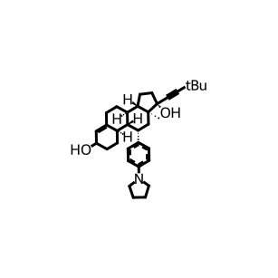 CC(C)(C)C#C[C@]1(O)CC[C@H]2[C@@H]3CCC4=CC(O)CC[C@@H]4[C@H]3[C@@H](c3ccc(N4CCCC4)cc3)C[C@@]21C